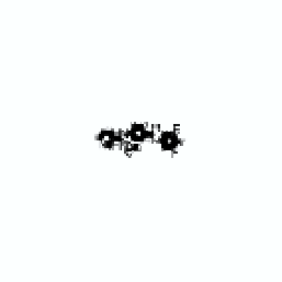 O=C(Nc1cc(F)c(F)c(F)c1)c1ccc2c(c1)S(=O)(=O)NC(c1cccnc1)N2